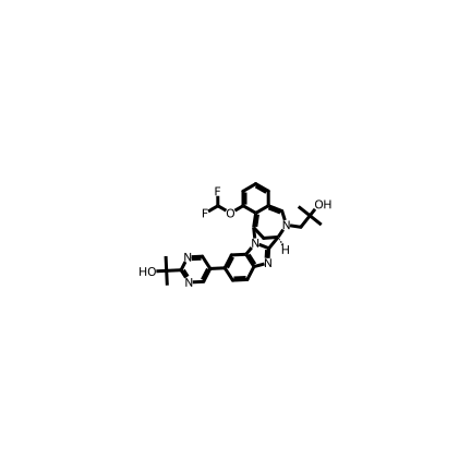 CC(C)(O)CN1C=c2cccc(OC(F)F)c2=C2C[C@@H]1c1nc3ccc(-c4cnc(C(C)(C)O)nc4)cc3n12